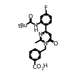 Cc1nc(-c2ccc(F)cc2NC(=O)C(C)(C)C)cc(=O)n1Cc1cccc(C(=O)O)c1